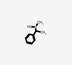 CC(c1ccccc1)N(C)S